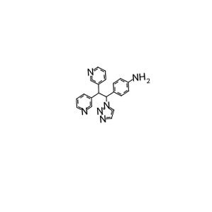 Nc1ccc(C(C(c2cccnc2)c2cccnc2)n2ccnn2)cc1